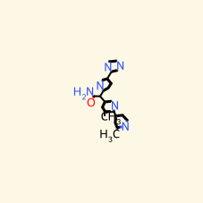 Cc1cc(-c2ncc(C(C(N)=O)c3ccc(-c4cnccn4)cn3)cc2C)ccn1